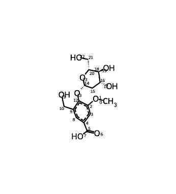 COc1cc(C(=O)O)cc(CO)c1O[C@H]1C[C@@H](O)[C@H](O)[C@@H](CO)O1